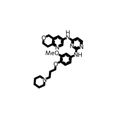 COc1cc(Nc2nccc(Nc3cnc4c(c3)COCC4)n2)ccc1OCCCN1CCCCC1